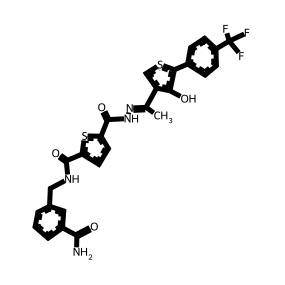 C/C(=N\NC(=O)c1ccc(C(=O)NCc2cccc(C(N)=O)c2)s1)c1csc(-c2ccc(C(F)(F)F)cc2)c1O